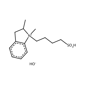 CC1Cc2ccccc2[N+]1(C)CCCCS(=O)(=O)O.[OH-]